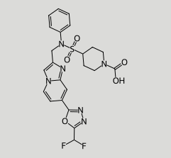 O=C(O)N1CCC(S(=O)(=O)N(Cc2cn3ccc(-c4nnc(C(F)F)o4)cc3n2)c2ccccc2)CC1